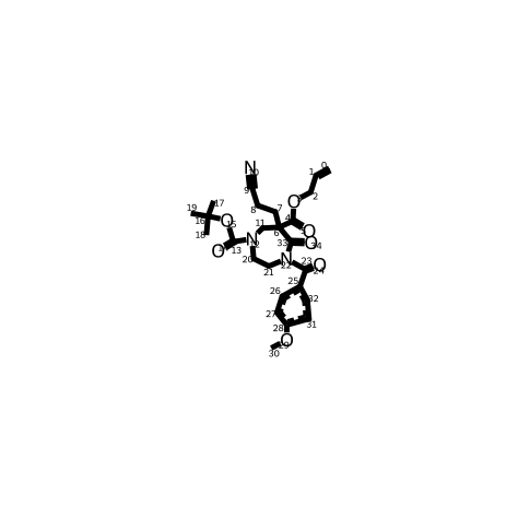 C=CCOC(=O)C1(CCC#N)CN(C(=O)OC(C)(C)C)CCN(C(=O)c2ccc(OC)cc2)C1=O